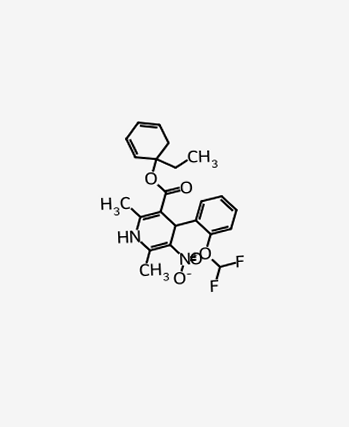 CCC1(OC(=O)C2=C(C)NC(C)=C([N+](=O)[O-])C2c2ccccc2OC(F)F)C=CC=CC1